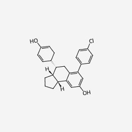 OC1=CCC([C@@H]2Cc3c(-c4ccc(Cl)cc4)cc(O)cc3[C@@H]3CCC[C@@H]32)C=C1